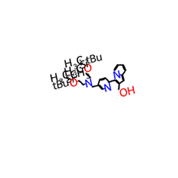 CC(C)(C)[Si](C)(C)OCCN(CCO[Si](C)(C)C(C)(C)C)Cc1ccc(-c2c(CO)cc3ccccn23)nc1